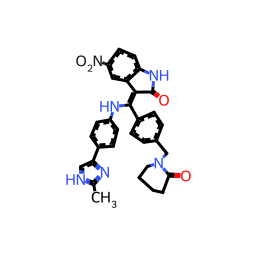 Cc1nc(-c2ccc(NC(=C3C(=O)Nc4ccc([N+](=O)[O-])cc43)c3ccc(CN4CCCCC4=O)cc3)cc2)c[nH]1